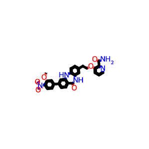 COc1cc(-c2ccc3c(c2)Nc2ccc(CCOc4cccnc4C(N)=O)cc2NC3=O)ccc1[N+](=O)[O-]